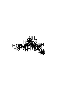 Cc1nnc(SCC2=C(C(=O)O)N3C(=O)C(NC(=O)C(NC(=O)NNC(=O)c4ccc(O)c(O)c4)c4csc(N)n4)[C@@H]3SC2)s1